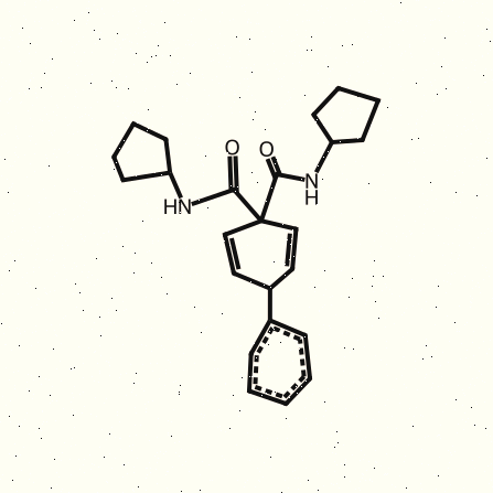 O=C(NC1CCCC1)C1(C(=O)NC2CCCC2)C=CC(c2ccccc2)C=C1